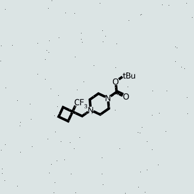 CC(C)(C)OC(=O)N1CCN(CC2(C(F)(F)F)CCC2)CC1